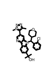 Cc1nnn(C)c1-c1cnc2c3ccc(C(C)(C)O)cc3n(C(c3ccccc3Cl)C3CCOCC3)c2c1